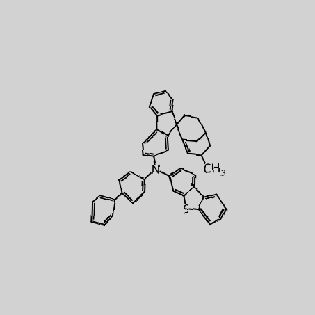 CC1C=C2CC(CCC23c2ccccc2-c2ccc(N(c4ccc(-c5ccccc5)cc4)c4ccc5c(c4)sc4ccccc45)cc23)C1